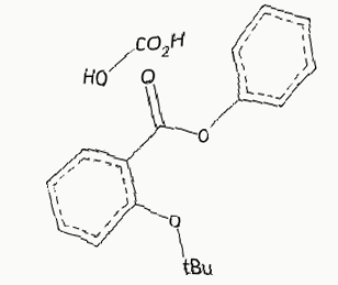 CC(C)(C)Oc1ccccc1C(=O)Oc1ccccc1.O=C(O)O